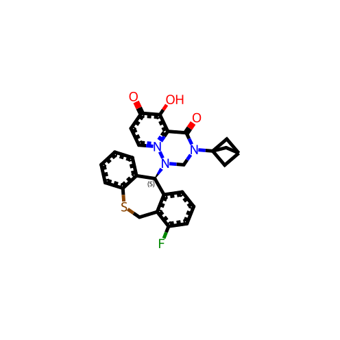 O=C1c2c(O)c(=O)ccn2N([C@@H]2c3ccccc3SCc3c(F)cccc32)CN1C12CC(C1)C2